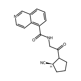 N#C[C@@H]1CCCC1C(=O)CNC(=O)c1cccc2cnccc12